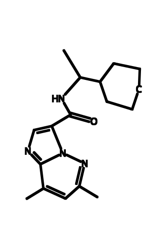 Cc1cc(C)c2ncc(C(=O)NC(C)C3CCCCC3)n2n1